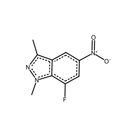 Cc1nn(C)c2c(F)cc([N+](=O)[O-])cc12